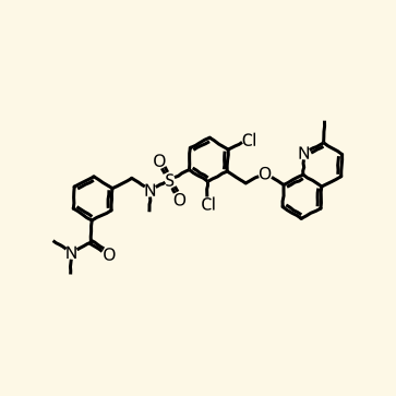 Cc1ccc2cccc(OCc3c(Cl)ccc(S(=O)(=O)N(C)Cc4cccc(C(=O)N(C)C)c4)c3Cl)c2n1